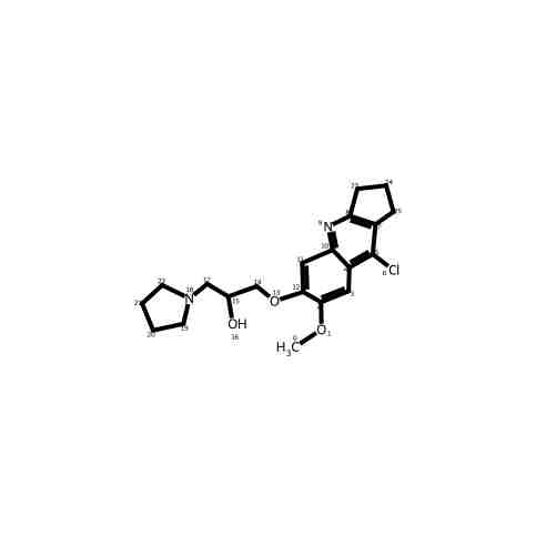 COc1cc2c(Cl)c3c(nc2cc1OCC(O)CN1CCCC1)CCC3